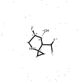 O[C@@H]1C(C(F)F)C2(CC2)NC[C@H]1F